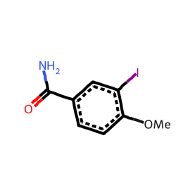 COc1ccc(C(N)=O)cc1I